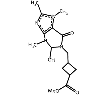 COC(=O)C1CC(CN2C(=O)c3c(nc(C)n3C)N(C)C2O)C1